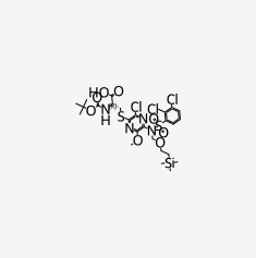 COc1nc(SC[C@H](NC(=O)OC(C)(C)C)C(=O)O)c(Cl)nc1N(COCC[Si](C)(C)C)S(=O)(=O)c1cccc(Cl)c1Cl